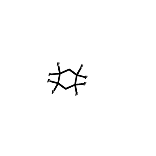 FC1(F)CC(F)(F)C(F)(F)CC1(F)F